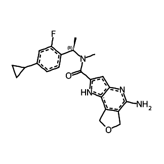 C[C@H](c1ccc(C2CC2)cc1F)N(C)C(=O)c1cc2nc(N)c3c(c2[nH]1)COC3